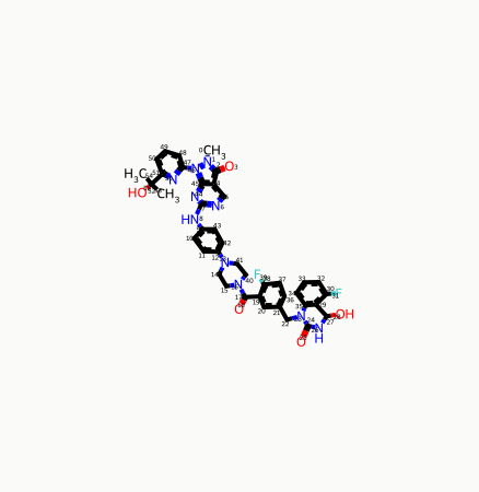 Cn1c(=O)c2cnc(Nc3ccc(N4CCN(C(=O)c5cc(CN6C(=O)NC(O)c7c(F)cccc76)ccc5F)CC4)cc3)nc2n1-c1cccc(C(C)(C)O)n1